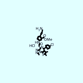 COC(=O)c1cc(NC(=O)C[C@@H]2N=C(c3ccc(Cl)cc3)c3c(sc(C)c3C)-n3c(C)nnc32)ccc1C#CCN.Cl